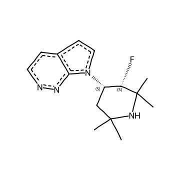 CC1(C)C[C@H](n2ccc3ccnnc32)[C@H](F)C(C)(C)N1